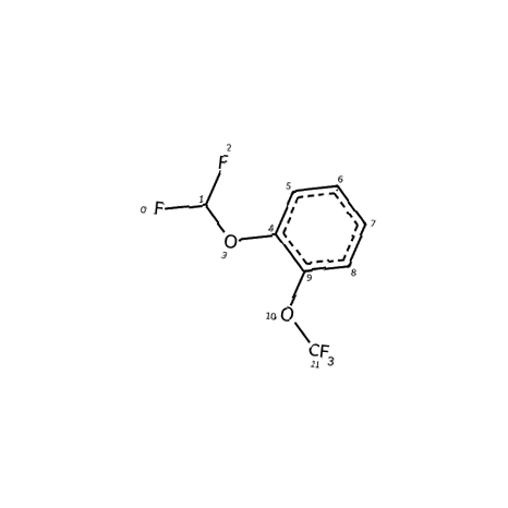 FC(F)Oc1c[c]ccc1OC(F)(F)F